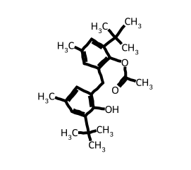 CC(=O)Oc1c(Cc2cc(C)cc(C(C)(C)C)c2O)cc(C)cc1C(C)(C)C